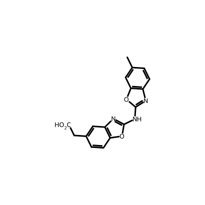 Cc1ccc2nc(Nc3nc4cc(CC(=O)O)ccc4o3)oc2c1